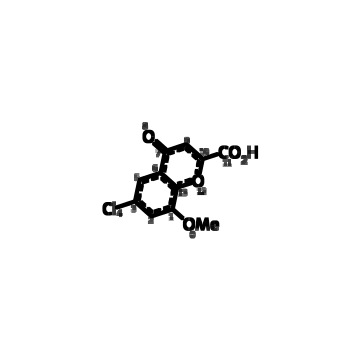 COc1cc(Cl)cc2c(=O)cc(C(=O)O)oc12